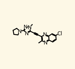 Cc1nc2ccc(Cl)cc2nc1C#Cc1nc(N2CCCC2)nn1C